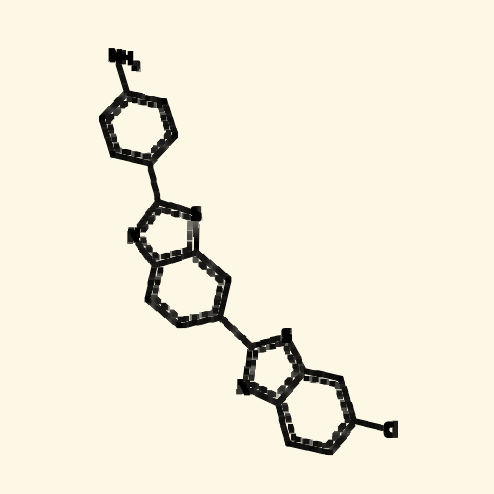 Nc1ccc(-c2nc3ccc(-c4nc5ccc(Cl)cc5s4)cc3s2)cc1